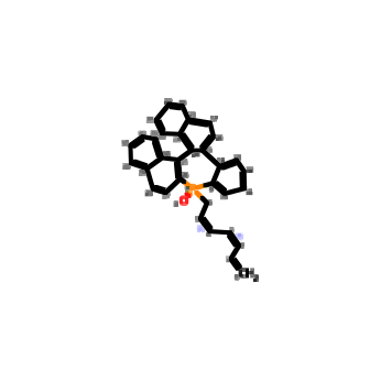 C=C/C=C\C=C/CP1(=O)c2ccccc2-c2ccc3ccccc3c2-c2c1ccc1ccccc21